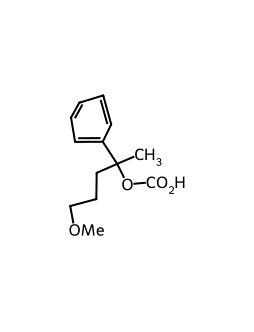 COCCCC(C)(OC(=O)O)c1ccccc1